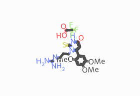 COc1cc(OC)c(-c2cc(=O)[nH]c(=S)n2CCCN=C(N)N)cc1OC.O=C(O)C(F)(F)F